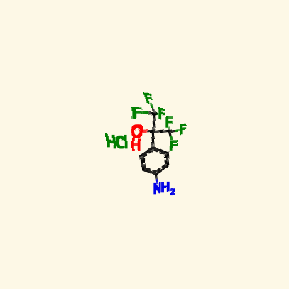 Cl.Nc1ccc(C(O)(C(F)(F)F)C(F)(F)F)cc1